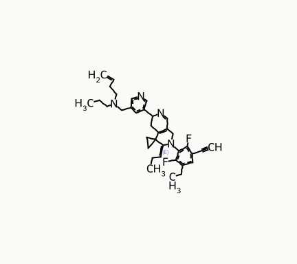 C#Cc1cc(CC)c(F)c(N2CC3=C(CC(c4cncc(CN(CCC)CCC=C)c4)N=C3)C3(CC3)/C2=C\CC)c1F